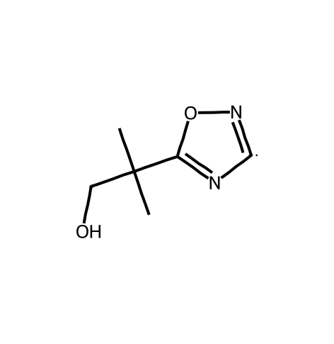 CC(C)(CO)c1n[c]no1